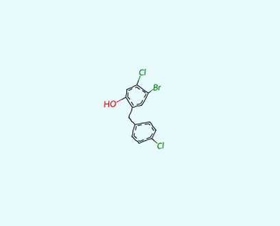 Oc1cc(Cl)c(Br)cc1Cc1ccc(Cl)cc1